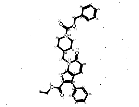 CCOC(=O)c1sc2c(ccc(=O)n2CC2CCN(C(=O)OCc3ccccc3)CC2)c1-c1ccccc1